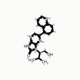 CC(C)[C@H](CO)n1c(=O)[nH]c2ncc(-c3cccc4ncccc34)nc21